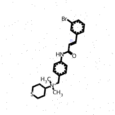 C[N+](C)(Cc1ccc(NC(=O)/C=C/c2cccc(Br)c2)cc1)C1CCSCC1